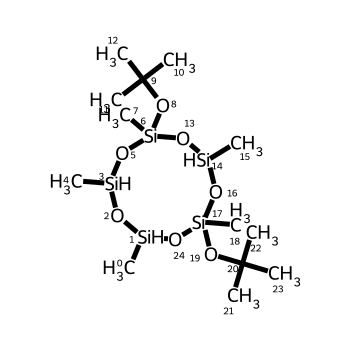 C[SiH]1O[SiH](C)O[Si](C)(OC(C)(C)C)O[SiH](C)O[Si](C)(OC(C)(C)C)O1